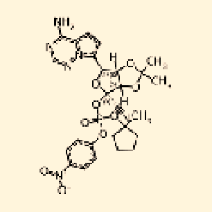 CC1(OP(=O)(Oc2ccc([N+](=O)[O-])cc2)O[C@@]2(C#N)O[C@@H](c3ccc4c(N)ncnn34)[C@@H]3OC(C)(C)O[C@@H]32)CCCC1